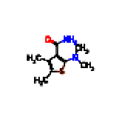 Cc1sc(N(C)C)c(C(N)=O)c1C